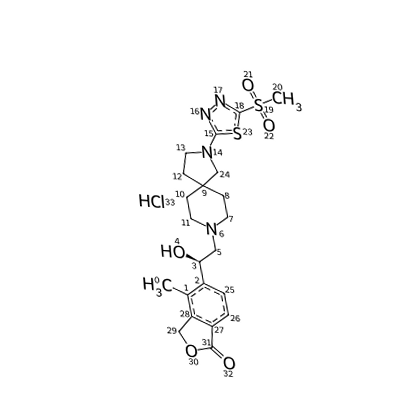 Cc1c([C@@H](O)CN2CCC3(CC2)CCN(c2nnc(S(C)(=O)=O)s2)C3)ccc2c1COC2=O.Cl